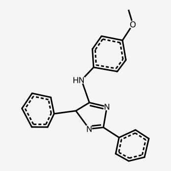 COc1ccc(NC2=NC(c3ccccc3)=NC2c2ccccc2)cc1